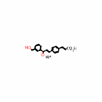 O=C(O)C=Cc1ccc(C=CC(=O)c2cccc(CO)c2)cc1.[KH]